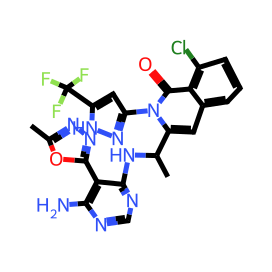 Cc1nnc(-c2c(N)ncnc2NC(C)c2cc3cccc(Cl)c3c(=O)n2-c2cc(C(F)(F)F)[nH]n2)o1